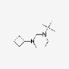 CC(C)(C)N1CCCN(C2CCC2)C1